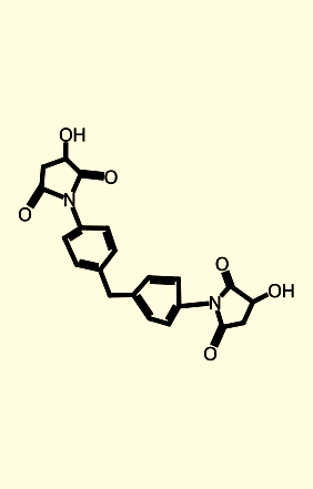 O=C1CC(O)C(=O)N1c1ccc(Cc2ccc(N3C(=O)CC(O)C3=O)cc2)cc1